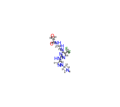 Cc1nn(C2CCN(C)CC2)cc1Nc1ncc(C(F)F)c(NCCCNC(=O)C2COC2)n1